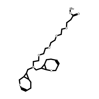 CC(C)(C)OC(=O)CCOCCOCCOCCOCCN(CC1C2CCC#CCCC21)CC1C2CCC#CCCC21